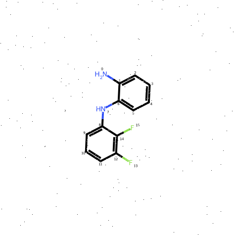 Nc1ccccc1Nc1cccc(F)c1F